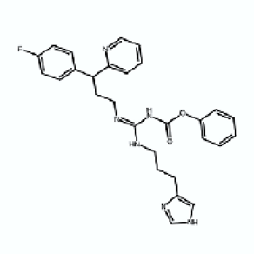 O=C(NC(=NCCC(c1ccc(F)cc1)c1ccccn1)NCCCc1c[nH]cn1)Oc1ccccc1